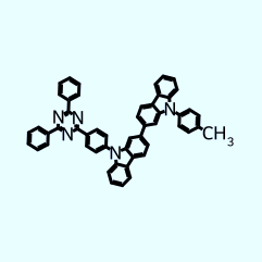 Cc1ccc(-n2c3ccccc3c3ccc(-c4ccc5c6ccccc6n(-c6ccc(-c7nc(-c8ccccc8)nc(-c8ccccc8)n7)cc6)c5c4)cc32)cc1